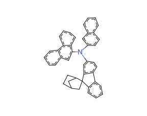 c1ccc2c(c1)-c1ccc(N(c3ccc4ccccc4c3)c3cc4ccccc4c4ccccc34)cc1C21CC2CCC1C2